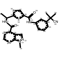 CC(NC(=O)c1ncnc2c1cnn2C)c1ncc(C(=O)Nc2cccc(C(C)(C)C#N)c2)s1